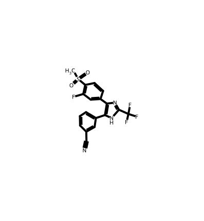 CS(=O)(=O)c1ccc(-c2nc(C(F)(F)F)[nH]c2-c2cccc(C#N)c2)cc1F